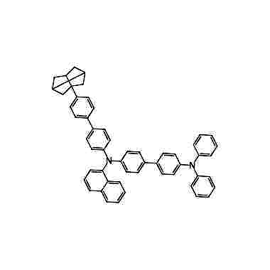 c1ccc(N(c2ccccc2)c2ccc(-c3ccc(N(c4ccc(-c5ccc(C67CC8CC6CC8C7)cc5)cc4)c4cccc5ccccc45)cc3)cc2)cc1